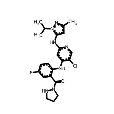 Cc1cc(Nc2cc(Nc3ccc(F)cc3C(=O)N3CCCN3)c(Cl)cn2)n(C(C)C)n1